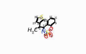 C=C(C1=NS(=O)(=O)Oc2ccccc21)c1ccsc1